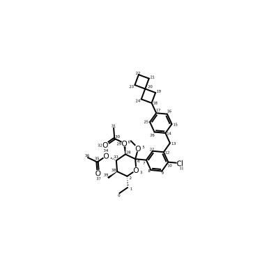 CC[C@H]1OC(OC)(c2ccc(Cl)c(Cc3ccc(C4CC5(CCC5)C4)cc3)c2)[C@H](OC(C)=O)[C@@H](OC(C)=O)[C@@H]1C